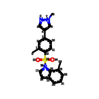 Cc1cc(-c2cnn(C)c2)ccc1S(=O)(=O)n1ccc2cccc(C)c21